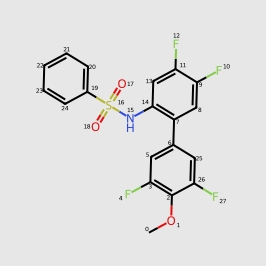 COc1c(F)cc(-c2cc(F)c(F)cc2NS(=O)(=O)c2ccccc2)cc1F